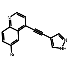 Brc1ccc2nccc(C#Cc3cn[nH]c3)c2c1